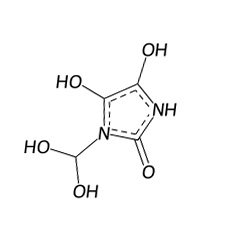 O=c1[nH]c(O)c(O)n1C(O)O